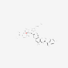 COCCC1CN(C(O[C@H]2CC[C@H](C(=O)O)CC2)(C(=O)Cc2cc(Cl)c(NC(=O)c3csc4ccccc34)cc2F)N2CCCC2)C1